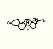 C[C@]12C=CC3=C4CCC(=O)C=C4CC[C@H]3[C@@H]1CC/C2=C\C#N